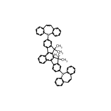 CC1(C)c2cc(N3c4ccccc4C=Cc4ccccc43)ccc2-c2c1c1c(c3ccccc23)-c2ccc(N3c4ccccc4C=Cc4ccccc43)cc2C1(C)C